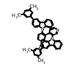 Cc1cc(C)cc(-c2ccc3c(c2)c2ccccc2n3-c2ccc(C#N)cc2-c2ccncc2-n2c3ccccc3c3cc(-c4cc(C)cc(C)c4)ccc32)c1